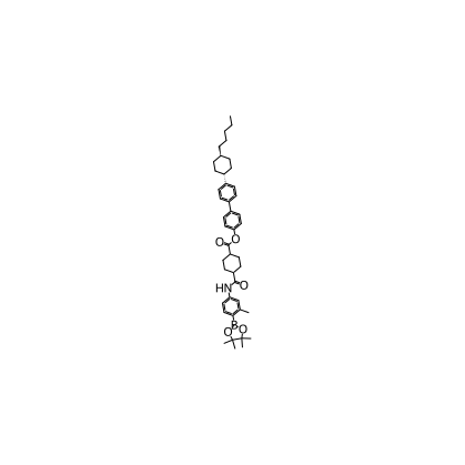 CCCCC[C@H]1CC[C@H](c2ccc(-c3ccc(OC(=O)C4CCC(C(=O)Nc5ccc(B6OC(C)(C)C(C)(C)O6)c(C)c5)CC4)cc3)cc2)CC1